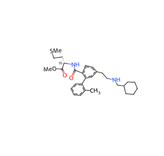 COC(=O)[C@H](CCSC)NC(=O)c1ccc(CCNCC2CCCCC2)cc1-c1ccccc1C